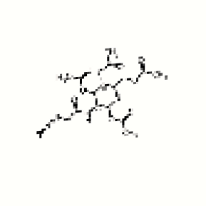 CC(=O)OCC1OC(OC(C)=O)[C@@H](NC(=O)CN=[N+]=[N-])C(OC(C)=O)[C@@H]1OC(C)=O